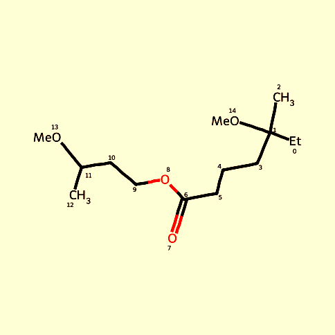 CCC(C)(CCCC(=O)OCCC(C)OC)OC